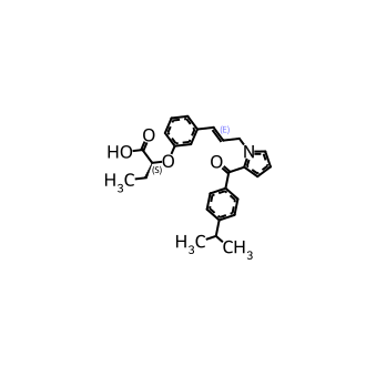 CC[C@H](Oc1cccc(/C=C/Cn2cccc2C(=O)c2ccc(C(C)C)cc2)c1)C(=O)O